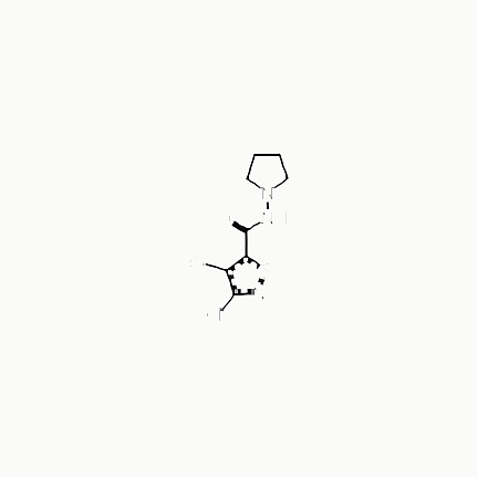 O=C(NN1CCCC1)c1snc(Cl)c1Cl